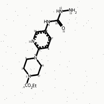 CCOC(=O)N1CCN(c2ccc(NC(=O)NN)cn2)CC1